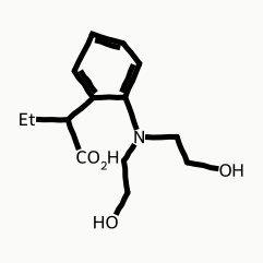 CCC(C(=O)O)c1ccccc1N(CCO)CCO